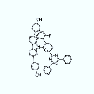 N#Cc1ccc(-c2ccc3c4ccc(-c5ccc(C#N)cc5)cc4n(-c4cc(-c5nc(-c6ccccc6)nc(-c6ccccc6)n5)ccc4-c4ccccc4F)c3c2)cc1